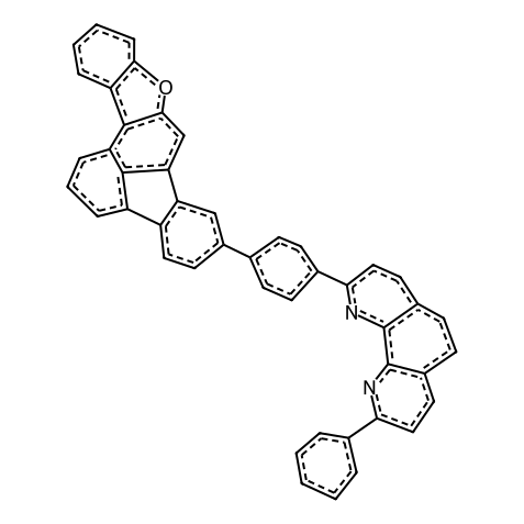 c1ccc(-c2ccc3ccc4ccc(-c5ccc(-c6ccc7c(c6)-c6cc8oc9ccccc9c8c8cccc-7c68)cc5)nc4c3n2)cc1